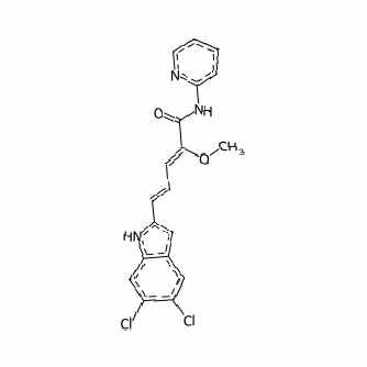 COC(=CC=Cc1cc2cc(Cl)c(Cl)cc2[nH]1)C(=O)Nc1ccccn1